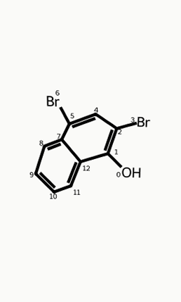 Oc1c(Br)cc(Br)c2ccccc12